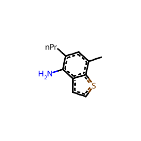 CCCc1cc(C)c2sccc2c1N